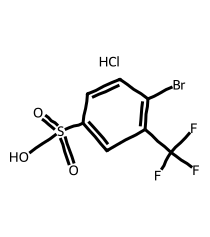 Cl.O=S(=O)(O)c1ccc(Br)c(C(F)(F)F)c1